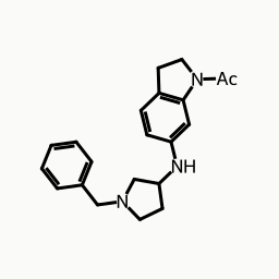 CC(=O)N1CCc2ccc(NC3CCN(Cc4ccccc4)C3)cc21